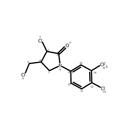 O=C1C(Cl)C(CCl)CN1c1ccc(Cl)c(C(F)(F)F)c1